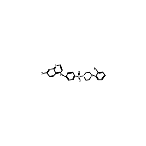 O=S(=O)(c1ccc(Nc2ccnc3cc(Cl)ccc23)cc1)N1CCN(c2ccccc2Br)CC1